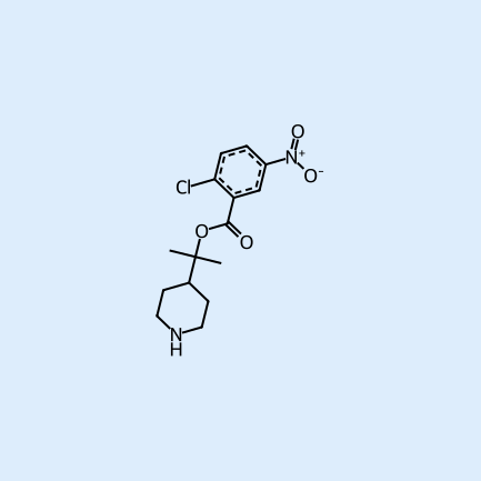 CC(C)(OC(=O)c1cc([N+](=O)[O-])ccc1Cl)C1CCNCC1